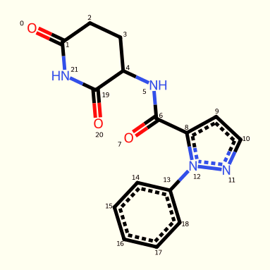 O=C1CCC(NC(=O)c2ccnn2-c2ccccc2)C(=O)N1